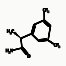 C[C@@H](C(N)=O)c1cc(C(F)(F)F)cc(C(F)(F)F)c1